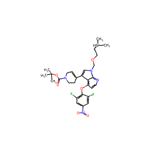 C[SiH](C)CCOCn1cc(C2=CCN(C(=O)OC(C)(C)C)CC2)c2c(Oc3c(F)cc([N+](=O)[O-])cc3F)ccnc21